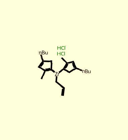 C=C[CH2][Zr]([C]1=C(C)C=C(CCCC)C1)[C]1=C(C)C=C(CCCC)C1.Cl.Cl